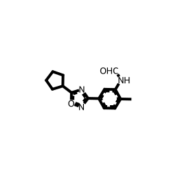 Cc1ccc(-c2noc(C3CCCC3)n2)cc1NC=O